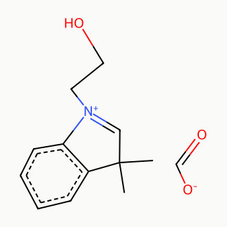 CC1(C)C=[N+](CCO)c2ccccc21.O=C[O-]